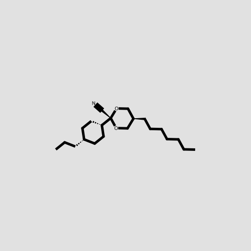 CCCCCCC[C@H]1CO[C@](C#N)([C@H]2CC[C@@H](CCC)CC2)OC1